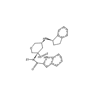 CCN(C(=O)c1cc2ccccc2[nH]1)[C@@]1([SH]=S)COC[C@@H](N[C@@H]2CCc3ccccc32)C1